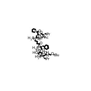 CC(=O)N(C)[C@@H](CC(C)C)C(=O)N[C@@H](CC(=O)N(C)CCCC(=O)N(C)[C@@H](CC1CC=CCC1)C(=O)N[C@H](C(=O)N(C)[C@@H](CC(C)C)C(=O)NCCOC(C)(C)C)[C@@H](C)O)C(=O)N1CCCCC1